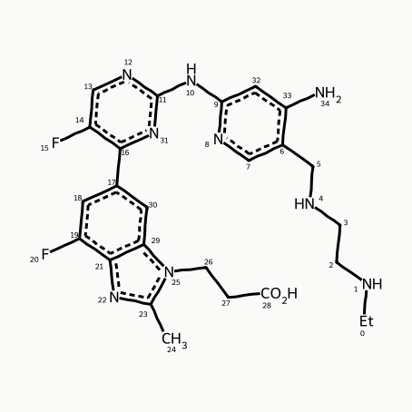 CCNCCNCc1cnc(Nc2ncc(F)c(-c3cc(F)c4nc(C)n(CCC(=O)O)c4c3)n2)cc1N